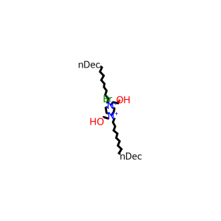 CCCCCCCCCCCCCCCCCCCC[N+]1(CCO)CC[N+](CCCCCCCCCCCCCCCCCCCC)(C(Br)CO)CC1